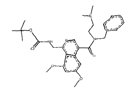 COc1cc(OC)c2c(CNC(=O)OC(C)(C)C)ncc(C(=O)N(CCN(C)C)Cc3ccccc3)c2c1